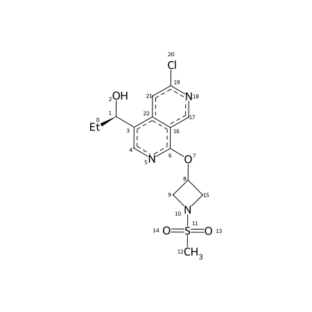 CC[C@@H](O)c1cnc(OC2CN(S(C)(=O)=O)C2)c2cnc(Cl)cc12